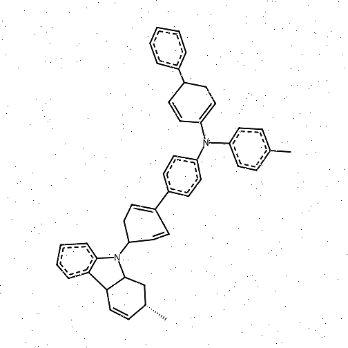 Cc1ccc(N(C2=CCC(c3ccccc3)C=C2)c2ccc(C3=CCC(N4c5ccccc5C5C=C[C@@H](C)CC54)C=C3)cc2)cc1